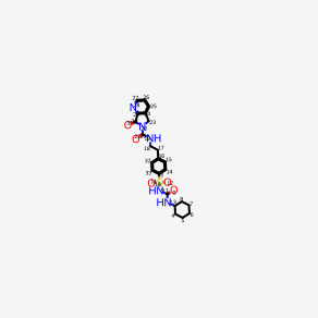 O=C(NC1CCCCC1)NS(=O)(=O)c1ccc(CCNC(=O)N2Cc3cccnc3C2=O)cc1